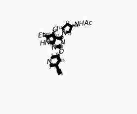 C#Cc1cncc(Oc2nc(N3CC[C@H](NC(C)=O)C3)c3c(Cl)c(CC)[nH]c3n2)c1